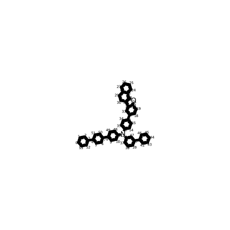 c1ccc(-c2ccc(-c3ccc(N(c4ccc(-c5ccc6oc7c8ccccc8ccc7c6c5)cc4)c4cccc(-c5ccccc5)c4)cc3)cc2)cc1